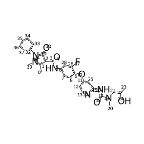 Cc1c(C(=O)Nc2ccc(Oc3ccnc(NC(=O)N(C)CC(C)O)c3)c(F)c2)c(=O)n(-c2ccccc2)n1C